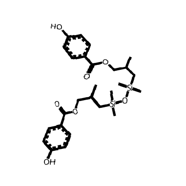 CC(COC(=O)c1ccc(O)cc1)C[Si](C)(C)O[Si](C)(C)CC(C)COC(=O)c1ccc(O)cc1